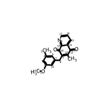 COc1cc(C)cc(CC2=C(C)C(=O)c3cccnc3C2=O)c1